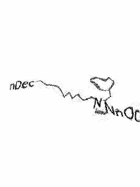 CCCCCCCCCCCCCCCCCCCn1cc[n+](CCCCCCCC)c1Cc1ccccc1